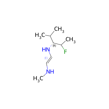 CN/C=C/N[C@H](C(C)C)C(C)F